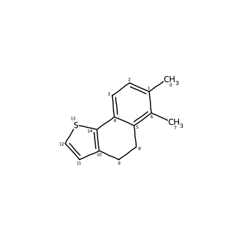 Cc1ccc2c(c1C)CCc1ccsc1-2